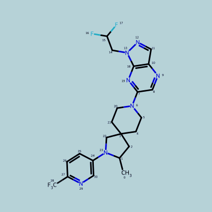 CC1CC2(CCN(c3cnc4cnn(CC(F)F)c4n3)CC2)CN1c1ccc(C(F)(F)F)nc1